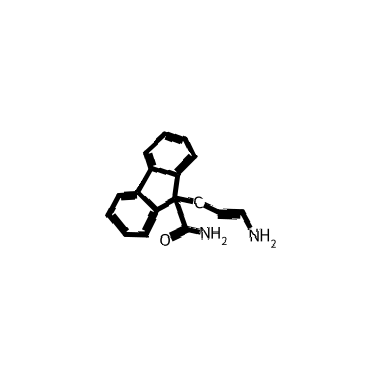 NC=CCC1(C(N)=O)c2ccccc2-c2ccccc21